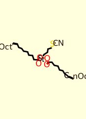 CCCCCCCC/C=C\CCCCCCCC(=O)O[Si](C)(CCCCSC#N)OC(=O)CCCCCCC/C=C\CCCCCCCC